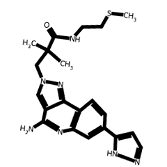 CSCCNC(=O)C(C)(C)Cn1cc2c(N)nc3cc(-c4ccn[nH]4)ccc3c2n1